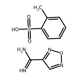 Cc1ccccc1S(=O)(=O)O.N=C(N)c1cnon1